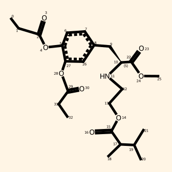 CCC(=O)Oc1ccc(C[C@H](NCCOC(=O)C(C)C(C)C)C(=O)OC)cc1OC(=O)CC